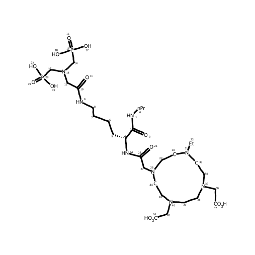 CCCNC(=O)[C@@H](CCCCNC(=O)CN(CP(=O)(O)O)CP(=O)(O)O)NC(=O)CN1CCN(CC)CCN(CC(=O)O)CCN(CC(=O)O)CC1